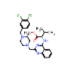 COC(=O)[C@@H](Nc1nc(CN2CCN(Cc3ccc(Cl)c(Cl)c3)CC2)nc2ccccc12)C(C)C